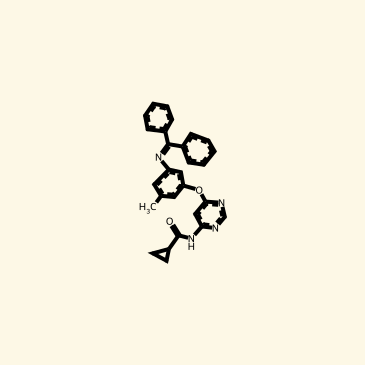 Cc1cc(N=C(c2ccccc2)c2ccccc2)cc(Oc2cc(NC(=O)C3CC3)ncn2)c1